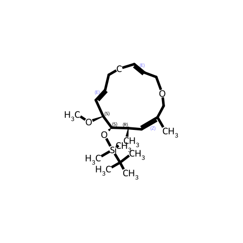 CO[C@H]1/C=C/CC/C=C/COC/C(C)=C\[C@@H](C)[C@@H]1O[Si](C)(C)C(C)(C)C